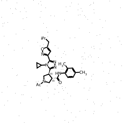 CC(=O)N1C[C@@H](C(=O)Nc2ccc(C)cc2C)[C@H](c2nnc(-c3cc(CC(C)C)on3)n2C2CC2)C1